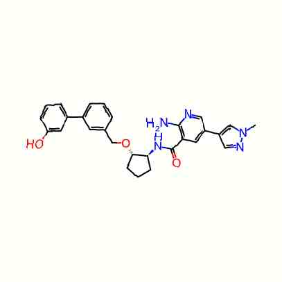 Cn1cc(-c2cnc(N)c(C(=O)N[C@H]3CCC[C@@H]3OCc3cccc(-c4cccc(O)c4)c3)c2)cn1